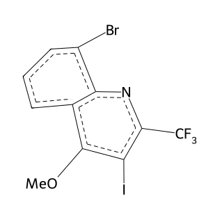 COc1c(I)c(C(F)(F)F)nc2c(Br)cccc12